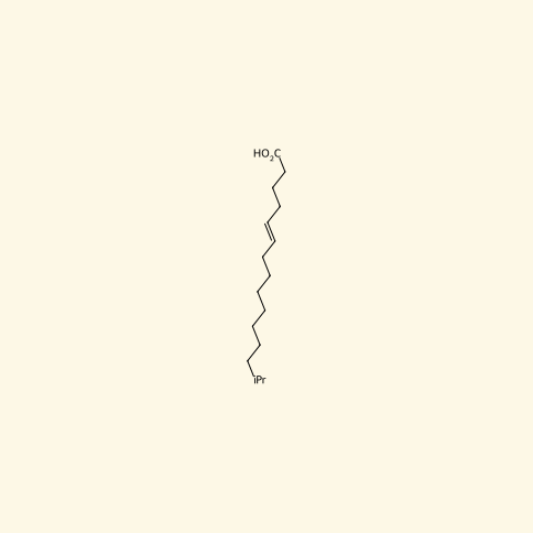 CC(C)CCCCCCCC=CCCCC(=O)O